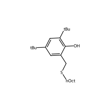 CCCCCCCCSCc1cc(C(C)(C)C)cc(C(C)(C)C)c1O